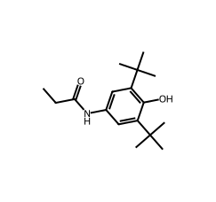 CCC(=O)Nc1cc(C(C)(C)C)c(O)c(C(C)(C)C)c1